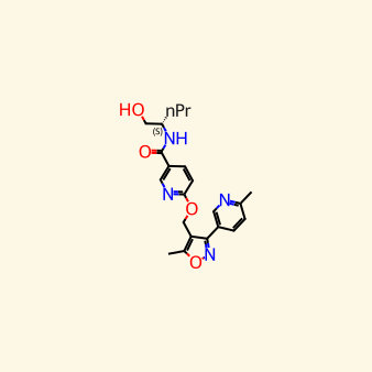 CCC[C@@H](CO)NC(=O)c1ccc(OCc2c(-c3ccc(C)nc3)noc2C)nc1